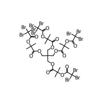 CC(C)(OC(=O)C(Br)(Br)Br)C(=O)OCC(COC(=O)C(C)(C)OC(=O)C(Br)(Br)Br)(COC(=O)C(C)(C)OC(=O)C(Br)(Br)Br)COC(=O)C(C)(C)OC(=O)C(Br)(Br)Br